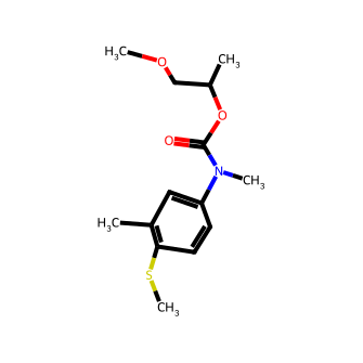 COCC(C)OC(=O)N(C)c1ccc(SC)c(C)c1